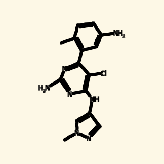 Cc1ccc(N)cc1-c1nc(N)nc(Nc2cnn(C)c2)c1Cl